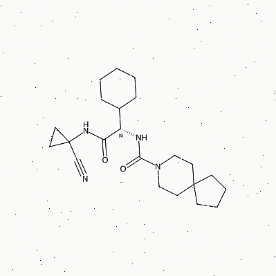 N#CC1(NC(=O)[C@@H](NC(=O)N2CCC3(CCCC3)CC2)C2CCCCC2)CC1